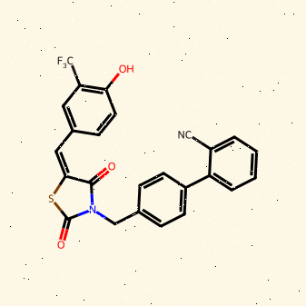 N#Cc1ccccc1-c1ccc(CN2C(=O)SC(=Cc3ccc(O)c(C(F)(F)F)c3)C2=O)cc1